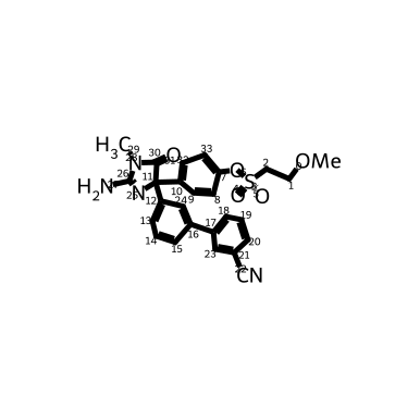 COCCS(=O)(=O)Oc1ccc(C2(c3cccc(-c4cccc(C#N)c4)c3)N=C(N)N(C)C2=O)cc1